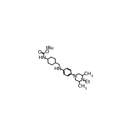 CCN1C(C)CN(c2ccc(NCC3CCC(NC(=O)OC(C)(C)C)CC3)cc2)CC1C